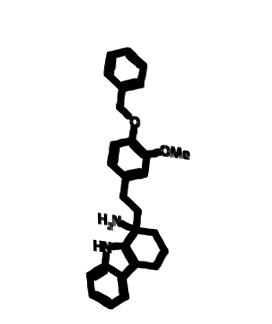 COc1cc(CCC2(N)CCCc3c2[nH]c2ccccc32)ccc1OCc1ccccc1